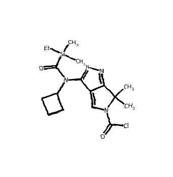 CC[Si](C)(C)C(=O)N(C1=NN=C2C1=CN(C(=O)Cl)C2(C)C)C1CCC1